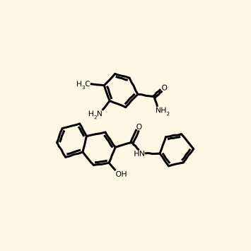 Cc1ccc(C(N)=O)cc1N.O=C(Nc1ccccc1)c1cc2ccccc2cc1O